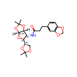 CC1(C)O[C@H]2O[C@H]([C@H]3COC(C)(C)O3)[C@@H](NC(=O)CCc3ccc4c(c3)OCO4)[C@H]2O1